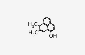 CC1=Cc2c(O)ccc3cccc(c23)C1C